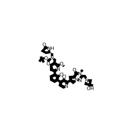 COc1nc(-c2cccc(-c3ccnc(-c4cc5c(=O)n(C)c(CN6CC(C)(O)C6)nn5c4)c3Cl)c2Cl)ccc1CN(C[C@@H]1CCC(=O)N1)C(=O)OC(C)(C)C